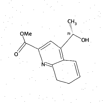 COC(=O)c1cc([C@H](C)O)c2c(n1)CCC=C2